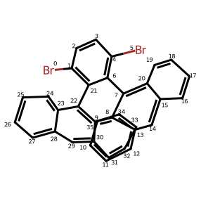 Brc1ccc(Br)c(-c2c3ccccc3cc3ccccc23)c1-c1c2ccccc2cc2ccccc12